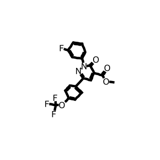 COC(=O)c1cc(-c2ccc(OC(F)(F)F)cc2)nn(-c2cccc(F)c2)c1=O